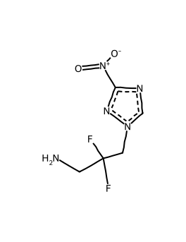 NCC(F)(F)Cn1cnc([N+](=O)[O-])n1